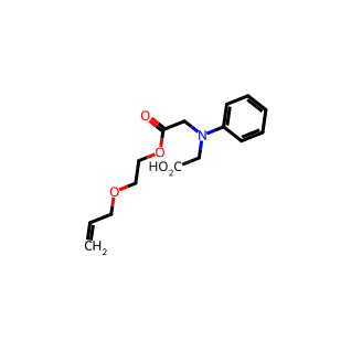 C=CCOCCOC(=O)CN(CC(=O)O)c1ccccc1